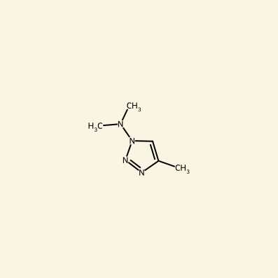 Cc1cn(N(C)C)nn1